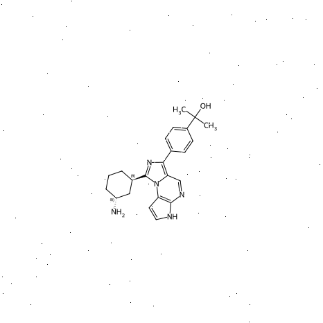 CC(C)(O)c1ccc(-c2nc([C@@H]3CCC[C@@H](N)C3)n3c2cnc2[nH]ccc23)cc1